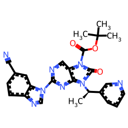 C[C@H](c1cccnc1)n1c(=O)n(C(=O)OC(C)(C)C)c2cnc(-n3cnc4ccc(C#N)cc43)nc21